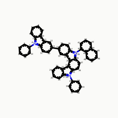 c1ccc(-n2c3ccccc3c3cc(-c4ccc5c(c4)c4c6c7ccccc7n(-c7ccccc7)c6ccc4n5-c4cccc5ccccc45)ccc32)cc1